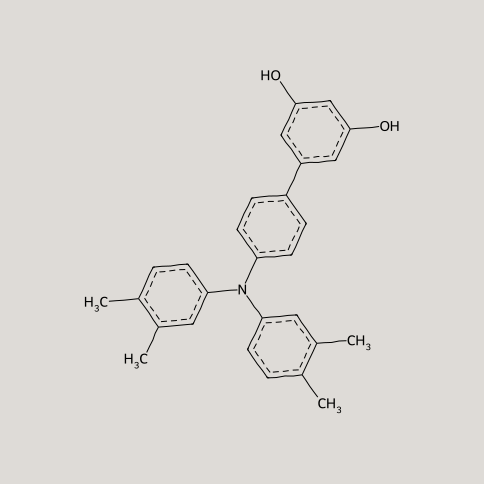 Cc1ccc(N(c2ccc(-c3cc(O)cc(O)c3)cc2)c2ccc(C)c(C)c2)cc1C